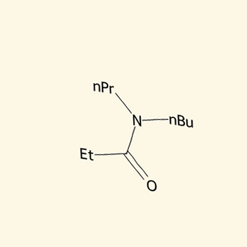 CCCCN(CCC)C(=O)CC